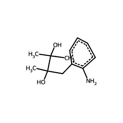 CC(C)(O)C(C)(O)Cc1ccccc1N